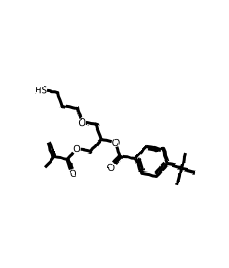 C=C(C)C(=O)OCC(COCCCS)OC(=O)c1ccc(C(C)(C)C)cc1